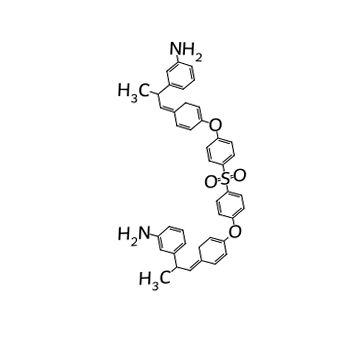 CC(C=C1C=CC(Oc2ccc(S(=O)(=O)c3ccc(OC4=CCC(=CC(C)c5cccc(N)c5)C=C4)cc3)cc2)=CC1)c1cccc(N)c1